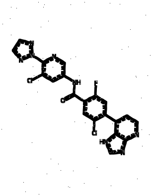 O=C(Nc1cnc(-n2nccn2)c(Cl)c1)c1cc(Cl)c(-c2ccnc3nc[nH]c23)cc1F